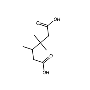 CC(CC(=O)O)C(C)(C)CC(=O)O